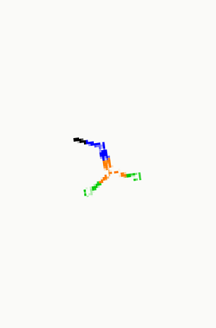 CN=[PH](Cl)Cl